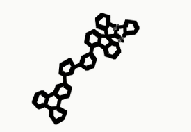 c1cc(-c2cccc(-c3cccc4c3-c3ccccc3C43c4ccccc4-n4c3nc3ccccc34)c2)cc(-c2ccc3c4ccccc4c4ccccc4c3c2)c1